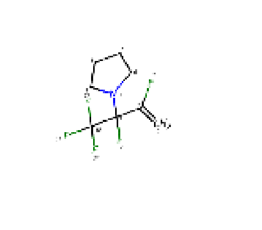 C=C(F)C(F)(N1CCCC1)C(F)(F)F